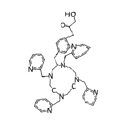 O=C(CO)Cc1ccc(CC2CN(Cc3ccccn3)CCN(Cc3ccccn3)CCN(Cc3ccccn3)CCN2Cc2ccccn2)cc1